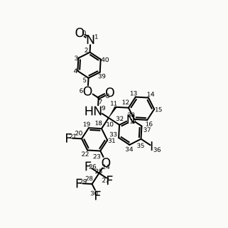 O=Nc1ccc(OC(=O)N[C@@](Cc2ccccc2)(c2cc(F)cc(OC(F)(F)C(F)F)c2)c2ccc(I)cn2)cc1